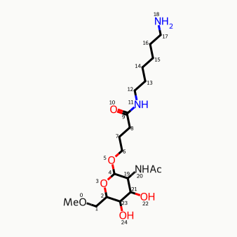 COCC1OC(OCCCC(=O)NCCCCCCN)C(NC(C)=O)C(O)C1O